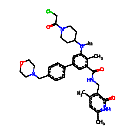 CCN(c1cc(-c2ccc(CN3CCOCC3)cc2)cc(C(=O)NCc2c(C)cc(C)[nH]c2=O)c1C)C1CCN(C(=O)CCl)CC1